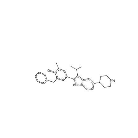 Cc1cc(-c2[nH]c3ccc(C4CCNCC4)cc3c2C(C)C)cn(Cc2ccccc2)c1=O